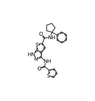 O=C(Nc1n[nH]c2sc(C(=O)NC3(c4ccccc4)CCCC3)cc12)c1cccs1